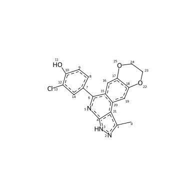 Cc1n[nH]c2nc(-c3ccc(O)c(Cl)c3)c3cc4c(cc3c12)OCCO4